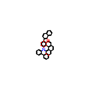 c1ccc(-c2ccccc2N(c2ccc3c(c2)oc2c4ccccc4ccc32)c2cccc3ccc4ccc5ccccc5c4c23)cc1